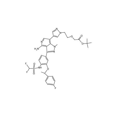 CC(Oc1cc(-c2nn(C)c3c(-c4cnn(CCOCC(=O)OC(C)(C)C)c4)cnc(N)c23)ccc1NS(=O)(=O)C(F)F)c1ccc(F)cc1